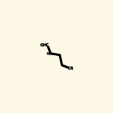 N#CCCN[C]=O